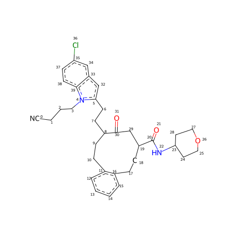 N#CCCCn1c(CCC2CCc3ccccc3CCC(C(=O)NC3CCOCC3)CC2=O)cc2cc(Cl)ccc21